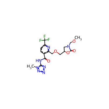 COCN1CC(COCc2nc(C(F)(F)F)ccc2C(=O)Nc2nnnn2C)OC1=O